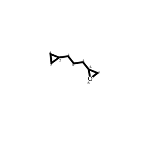 C(CC1CC1)CC1CO1